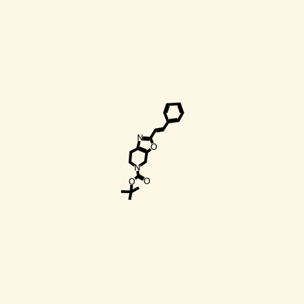 CC(C)(C)OC(=O)N1CCc2nc(C=Cc3ccccc3)oc2C1